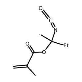 [CH2]C(CC)(N=C=O)OC(=O)C(=C)C